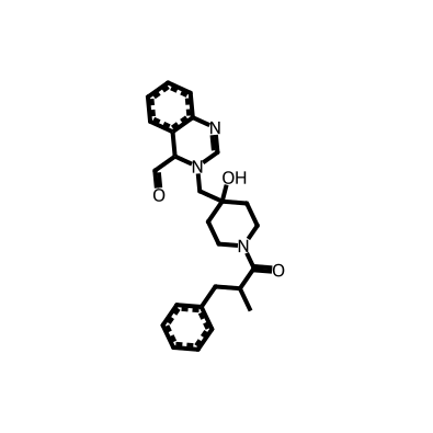 CC(Cc1ccccc1)C(=O)N1CCC(O)(CN2C=Nc3ccccc3C2C=O)CC1